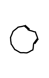 [C]1=C/CCCCCCCC/C=C/C/1